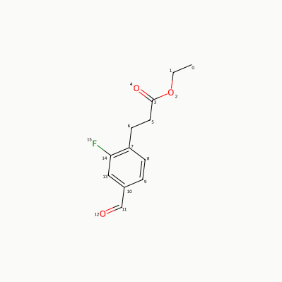 CCOC(=O)CCc1ccc(C=O)cc1F